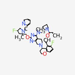 C#Cc1c(F)ccc2c1[C@H](N1CCc3c(nc(OC[C@]4(C)C[C@@H](F)CN4Cc4ccccn4)nc3N(C)C[C@@H]3CCCN3C(=O)C=C)C1)CCO2